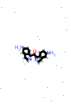 Nc1ccc2c(C(=O)c3nccc4cc(N)ccc34)nccc2c1